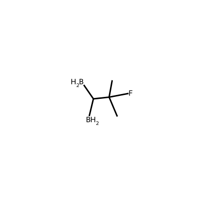 BC(B)C(C)(C)F